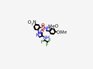 COc1ccc(CNS(=O)(=O)c2cc([N+](=O)[O-])ccc2-n2cc(NC(F)C(F)F)cn2)c(OC)c1